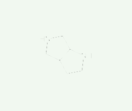 [C]1CNC2CNCC12